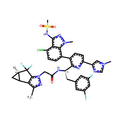 Cn1cnc(-c2ccc(-c3ccc(Cl)c4c(NS(C)(=O)=O)nn(C)c34)c([C@H](Cc3cc(F)cc(F)c3)NC(=O)Cn3nc(C(F)(F)F)c4c3C(F)(F)[C@@H]3CC43)n2)c1